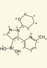 Cc1cccc(-c2c(B(O)O)cnn2C2CCCCO2)n1